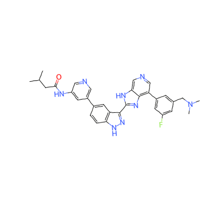 CC(C)CC(=O)Nc1cncc(-c2ccc3[nH]nc(-c4nc5c(-c6cc(F)cc(CN(C)C)c6)cncc5[nH]4)c3c2)c1